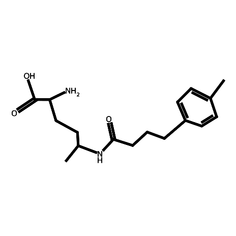 Cc1ccc(CCCC(=O)NC(C)CCC(N)C(=O)O)cc1